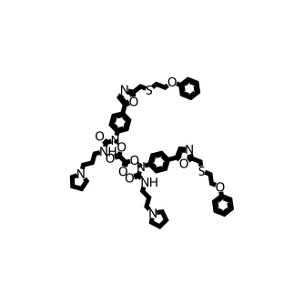 O=C(ON(C(=O)NCCCN1CCCC1)c1ccc(-c2cnc(CSCCOc3ccccc3)o2)cc1)C(=O)ON(C(=O)NCCCN1CCCC1)c1ccc(-c2cnc(CSCCOc3ccccc3)o2)cc1